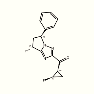 O=C(c1nc2n(n1)[C@H](c1ccccc1)C[C@H]2F)[C@H]1C[C@H]1F